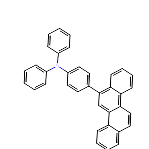 c1ccc(N(c2ccccc2)c2ccc(-c3cc4c5ccccc5ccc4c4ccccc34)cc2)cc1